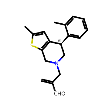 C=C(C=O)CN1Cc2sc(C)cc2[C@@H](c2ccccc2C)C1